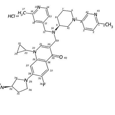 Cc1ccc(N2CCC[C@H](N(Cc3ccnc(C)c3)Cc3cn(C4CC4)c4cc(N5CC[C@@H](N)C5)c(F)cc4c3=O)C2)cn1.Cl